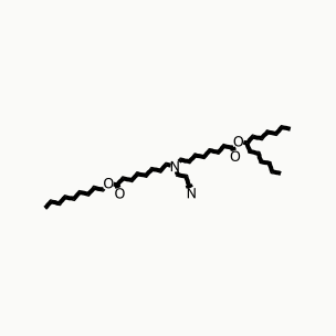 CCCCCCCCCOC(=O)CCCCCCCN(CCC#N)CCCCCCCC(=O)OC(CCCCCC)CCCCCC